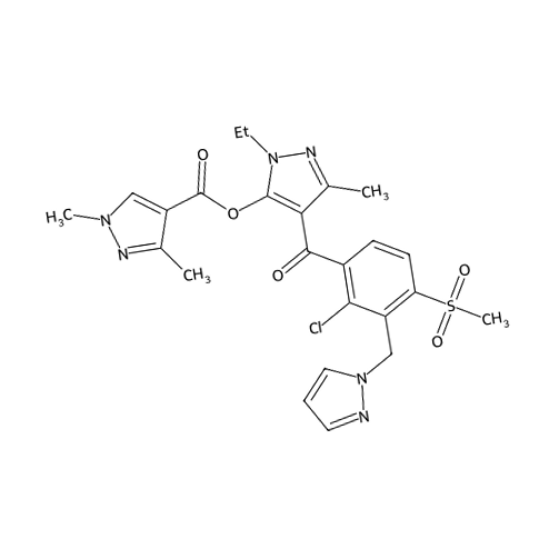 CCn1nc(C)c(C(=O)c2ccc(S(C)(=O)=O)c(Cn3cccn3)c2Cl)c1OC(=O)c1cn(C)nc1C